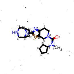 CN(C(=O)N1CCc2nc(N3C4CCC3CNC4)sc2C1)C1CCCC1